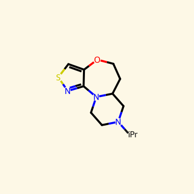 CC(C)N1CCN2c3nscc3OCCC2C1